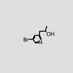 CC(O)Cc1cncc(Br)c1